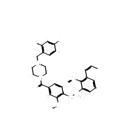 C=Nc1c(/C=C\C)cccc1S(=O)(=O)Nc1ccc(C(=O)N2CCN(Cc3ccc(F)cc3F)CC2)cc1OC